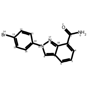 NC(=O)c1cccc2cn(-c3ccc(Br)cc3)nc12